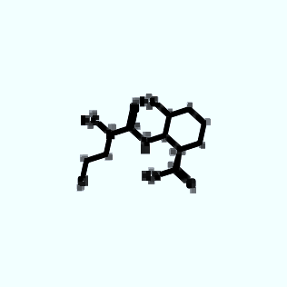 CC1CCC[C@@H](C(N)=O)C1NC(=O)N(C)CCCl